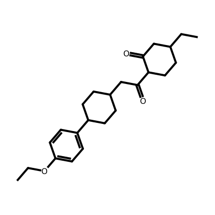 CCOc1ccc(C2CCC(CC(=O)C3CCC(CC)CC3=O)CC2)cc1